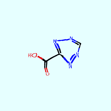 O=C(O)c1nncnn1